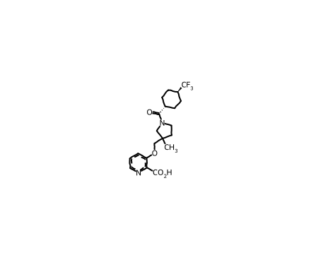 CC1(COc2cccnc2C(=O)O)CCN(C(=O)[C@H]2CC[C@H](C(F)(F)F)CC2)C1